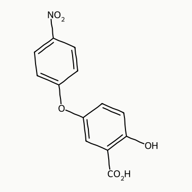 O=C(O)c1cc(Oc2ccc([N+](=O)[O-])cc2)ccc1O